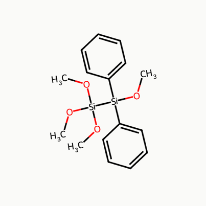 CO[Si](OC)(OC)[Si](OC)(c1ccccc1)c1ccccc1